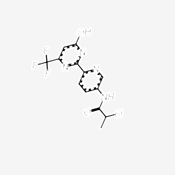 CC(Cl)C(=O)Nc1ccc(-c2nc(O)cc(C(F)(F)F)n2)nc1